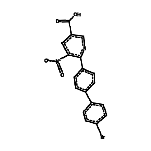 O=C(O)c1cnc(-c2ccc(-c3ccc(Br)cc3)cc2)c([N+](=O)[O-])c1